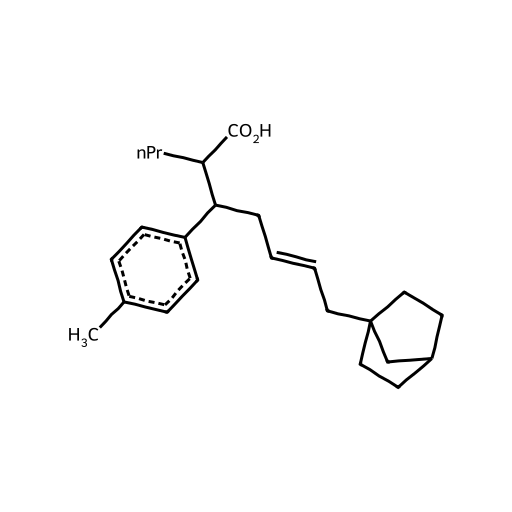 CCCC(C(=O)O)C(CC=CCC12CCC(CC1)C2)c1ccc(C)cc1